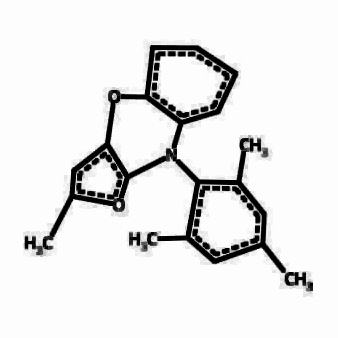 Cc1cc(C)c(N2c3ccccc3Oc3cc(C)oc32)c(C)c1